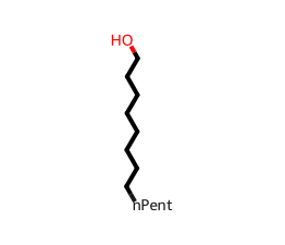 [CH2]CCCCCCCCCCCCO